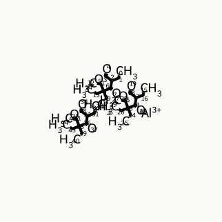 CCC(C(=O)[O-])C(=O)C(CC)(CC)CC.CCC(C(=O)[O-])C(=O)C(CC)(CC)CC.CCC(C(=O)[O-])C(=O)C(CC)(CC)CC.[Al+3]